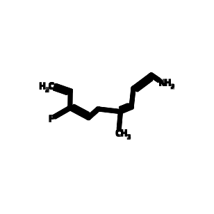 C=C/C(F)=C\C/C(C)=C\C=C/N